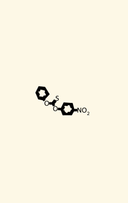 O=[N+]([O-])c1ccc(OC(=S)Oc2ccccc2)cc1